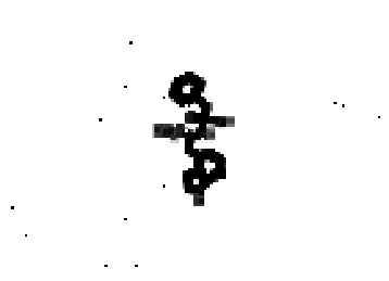 O=C(O)C(Cc1cccc2[nH]ccc12)NP(=O)(O)Cc1ccccc1